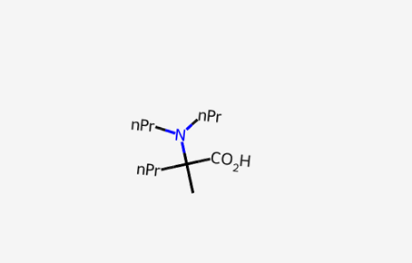 CCCN(CCC)C(C)(CCC)C(=O)O